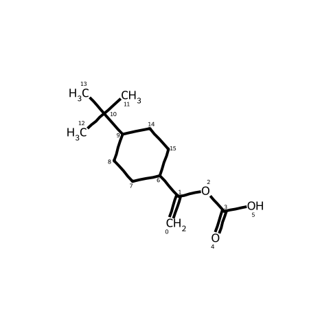 C=C(OC(=O)O)C1CCC(C(C)(C)C)CC1